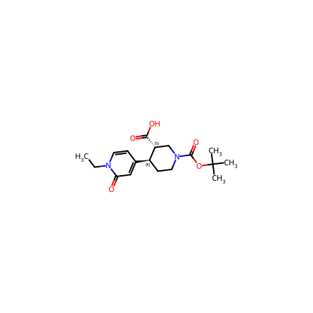 CCn1ccc([C@@H]2CCN(C(=O)OC(C)(C)C)C[C@H]2C(=O)O)cc1=O